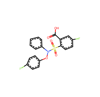 O=C(O)c1cc(F)ccc1S(=O)(=O)N(Oc1ccc(F)cc1)c1ccccc1